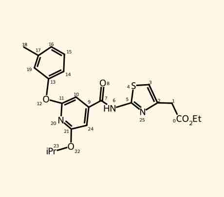 CCOC(=O)Cc1csc(NC(=O)c2cc(Oc3cccc(C)c3)nc(OC(C)C)c2)n1